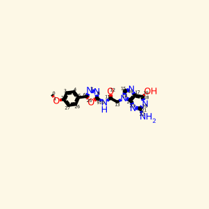 COc1ccc(-c2nnc(NC(=O)Cn3cnc4c(O)nc(N)nc43)o2)cc1